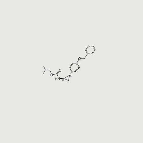 CC(C)COC(=O)N[C@@H]1C[C@H]1c1ccc(OCc2ccccc2)cc1